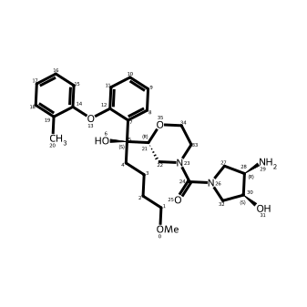 COCCCC[C@](O)(c1ccccc1Oc1ccccc1C)[C@H]1CN(C(=O)N2C[C@@H](N)[C@@H](O)C2)CCO1